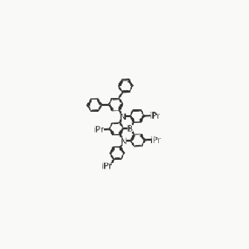 CC(C)c1ccc(N2c3ccc(C(C)C)cc3B3c4cc(C(C)C)ccc4N(c4cc(-c5ccccc5)cc(-c5ccccc5)c4)c4cc(C(C)C)cc2c43)cc1